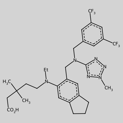 CCN(CCC(C)(C)CC(=O)O)c1cc2c(cc1CN(Cc1cc(C(F)(F)F)cc(C(F)(F)F)c1)c1nnn(C)n1)CCC2